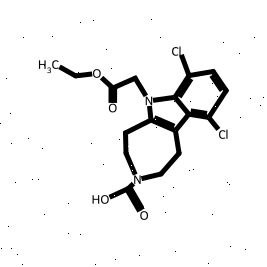 CCOC(=O)Cn1c2c(c3c(Cl)ccc(Cl)c31)CCN(C(=O)O)CC2